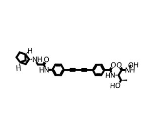 C[C@@H](O)[C@H](NC(=O)c1ccc(C#CC#Cc2ccc(NC(=O)CN[C@@H]3C[C@H]4CC[C@@H]3C4)cc2)cc1)C(=O)NO